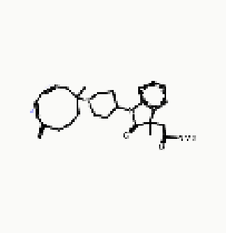 C=C1/C=C\C=C/CC(C)(N2CCC(N3C(=O)C(C)(CC(=O)NC)c4ccccc43)CC2)CCC1